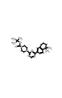 CC(C)(C)OC(=O)N1CCN(c2ncnc(-c3ccc4c(c3)CCCC4(C)C)n2)CC1